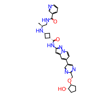 C[C@@H](CNC(=O)c1cccnc1)N[C@H]1C[C@@H](C(=O)Nc2cc3cc(-c4cnc(CO[C@H]5CCC[C@@H]5O)nc4)ccn3n2)C1